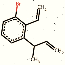 C=C[C](C)c1cccc(Br)c1C=C